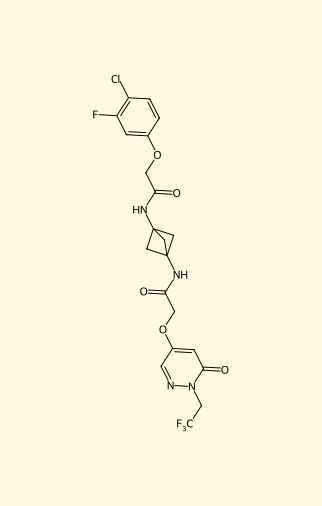 O=C(COc1ccc(Cl)c(F)c1)NC12CC(NC(=O)COc3cnn(CC(F)(F)F)c(=O)c3)(C1)C2